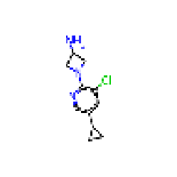 NC1CN(c2ncc(C3CC3)cc2Cl)C1